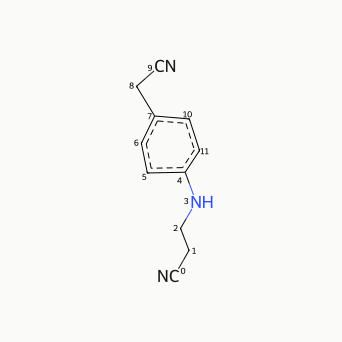 N#CCCNc1ccc(CC#N)cc1